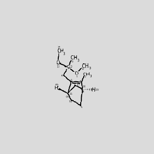 CO[Si](C)(CC1=C(C)[C@H]2CC[C@H]1C2)OC